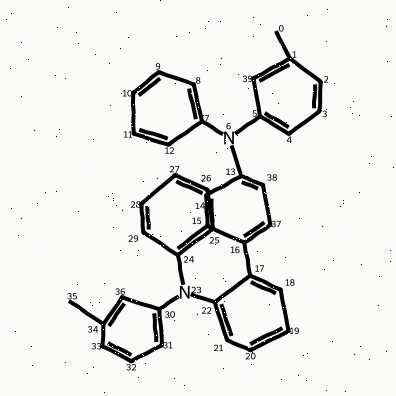 Cc1cccc(N(c2ccccc2)c2ccc(-c3ccccc3N(c3ccccc3)c3cccc(C)c3)cc2)c1